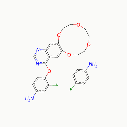 Nc1ccc(F)cc1.Nc1ccc(Oc2ncnc3cc4c(cc23)OCCOCCOCCO4)c(F)c1